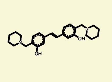 Oc1cc(/C=C/c2ccc(CN3CCCCC3)c(O)c2)ccc1CN1CCCCC1